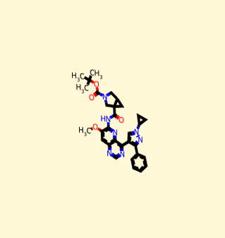 COc1cc2ncnc(-c3cn(C4CC4)nc3-c3ccccc3)c2nc1NC(=O)C12CC1CN(C(=O)OC(C)(C)C)C2